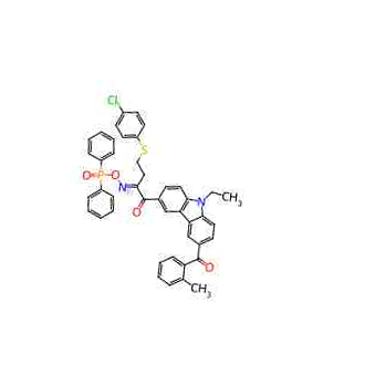 CCn1c2ccc(C(=O)/C(CCSc3ccc(Cl)cc3)=N/OP(=O)(c3ccccc3)c3ccccc3)cc2c2cc(C(=O)c3ccccc3C)ccc21